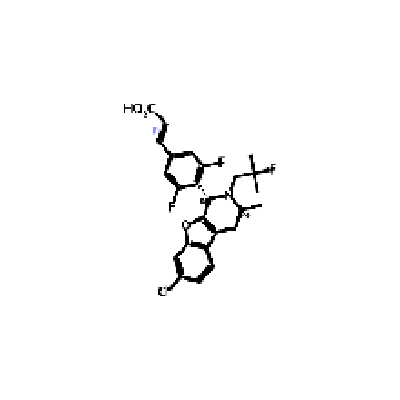 C[C@H]1Cc2c(oc3cc(Cl)ccc23)[C@H](c2c(F)cc(/C=C/C(=O)O)cc2F)N1CC(C)(C)F